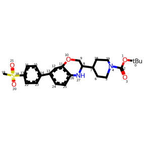 CC(C)(C)OC(=O)N1CCC(C2COc3cc(-c4ccc(S(C)(=O)=O)cc4)ccc3N2)CC1